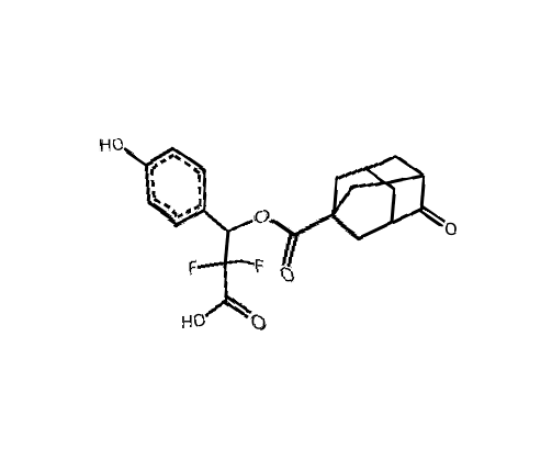 O=C1C2CC3CC1CC(C(=O)OC(c1ccc(O)cc1)C(F)(F)C(=O)O)(C3)C2